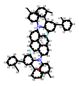 Cc1ccc(N(c2c(F)cc(-c3ccccc3C)cc2-c2ccccc2C)c2ccc3ccc4c(N(c5ccc(C)cc5)c5c(F)cc(-c6ccccc6C)cc5-c5ccccc5C)ccc5ccc2c3c54)cc1